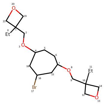 CCC1(COC2CCC(OCC3(CC)COC3)CC(Br)C2)COC1